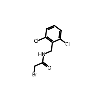 O=C(CBr)NCc1c(Cl)cccc1Cl